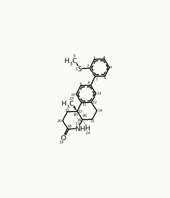 CSc1ccccc1-c1ccc2c(c1)CC[C@H]1NC(=O)CC[C@]21C